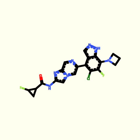 O=C(Nc1cn2cc(-c3c(Cl)c(F)c(N4CCC4)c4[nH]ncc34)ncc2n1)C1CC1F